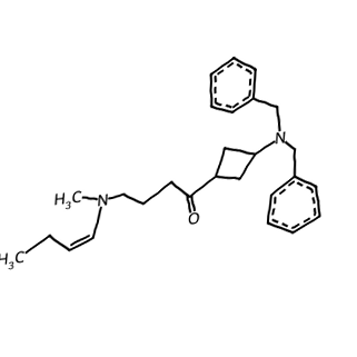 CC/C=C\N(C)CCCC(=O)C1CC(N(Cc2ccccc2)Cc2ccccc2)C1